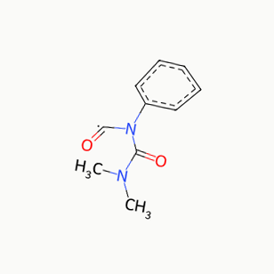 CN(C)C(=O)N([C]=O)c1ccccc1